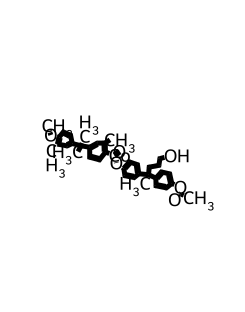 COc1ccc(C(C)(C)c2cc[c]([Co](=[O])[O]c3ccc(C(C)(CCCO)c4ccc(OC(C)=O)cc4)cc3)c(C)c2)cc1C